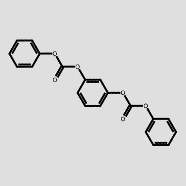 O=C(Oc1ccccc1)Oc1cccc(OC(=O)Oc2ccccc2)c1